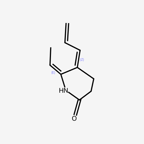 C=C/C=C1/CCC(=O)N/C1=C/C